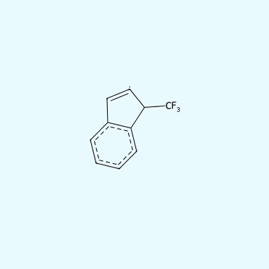 FC(F)(F)C1[C]=Cc2ccccc21